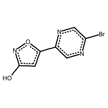 Oc1cc(-c2cnc(Br)cn2)on1